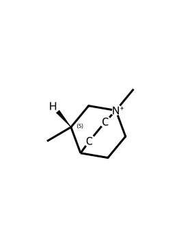 C[C@@H]1C[N+]2(C)CCC1CC2